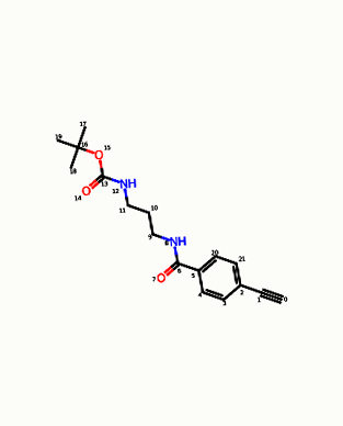 C#Cc1ccc(C(=O)NCCCNC(=O)OC(C)(C)C)cc1